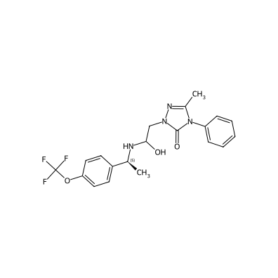 Cc1nn(CC(O)N[C@@H](C)c2ccc(OC(F)(F)F)cc2)c(=O)n1-c1ccccc1